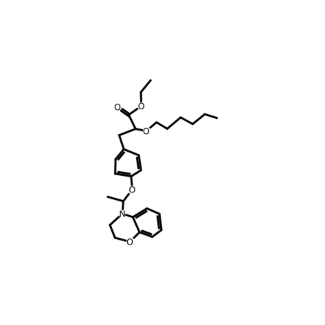 CCCCCCOC(Cc1ccc(OC(C)N2CCOc3ccccc32)cc1)C(=O)OCC